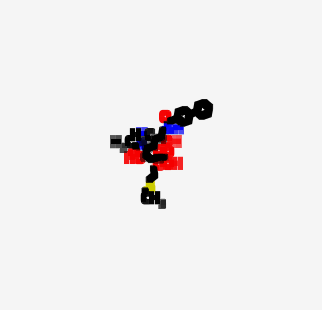 CCSCCCO[C@]1(C(=O)O)C[C@H](O)[C@@H](NC(C)=O)[C@H]([C@H](C)[C@H](O)CNC(=O)c2ccc(-c3ccccc3)cc2)O1